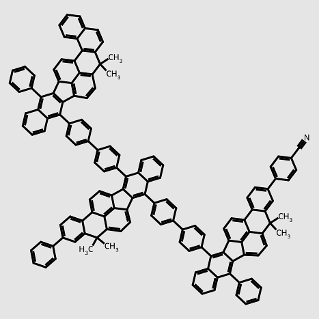 CC1(C)c2cc(-c3ccc(C#N)cc3)ccc2-c2ccc3c4c(ccc1c24)-c1c-3c(-c2ccc(-c3ccc(-c4c5c(c(-c6ccc(-c7ccc(-c8c9c(c(-c%10ccccc%10)c%10ccccc8%10)-c8ccc%10c%11c(ccc-9c8%11)C(C)(C)c8ccc9ccccc9c8-%10)cc7)cc6)c6ccccc46)-c4ccc6c7c(ccc-5c47)C(C)(C)c4cc(-c5ccccc5)ccc4-6)cc3)cc2)c2ccccc2c1-c1ccccc1